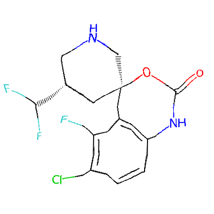 O=C1Nc2ccc(Cl)c(F)c2[C@]2(CNC[C@@H](C(F)F)C2)O1